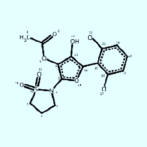 CC(=O)Oc1c(N2CCCS2(=O)=O)oc(-c2c(Cl)cccc2Cl)c1O